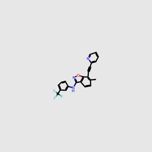 Cc1ccc2c(Nc3cccc(C(F)(F)F)c3)noc2c1C#Cc1ccccn1